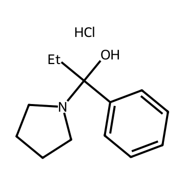 CCC(O)(c1ccccc1)N1CCCC1.Cl